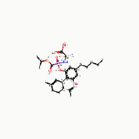 C=C(C)[C@@H]1CCC(C)=C[C@H]1c1c(O)cc(CCCCC)cc1OP(=O)(N[C@@H](C)C(=O)O)C(=O)OC(C)C